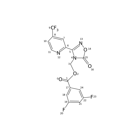 O=C(OCn1c(-c2cc(C(F)(F)F)ccn2)noc1=O)c1cc(F)cc(F)c1